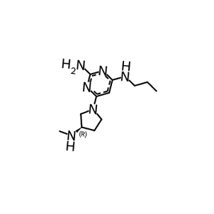 CCCNc1cc(N2CC[C@@H](NC)C2)nc(N)n1